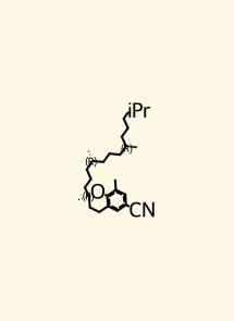 Cc1cc(C#N)cc2c1O[C@](C)(CCC[C@H](C)CCC[C@H](C)CCCC(C)C)CC2